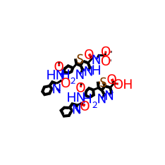 COc1cc(-c2csc3c(C(=O)NCC(OC)OC)cnc(N)c23)ccc1NC(=O)c1cc2ccccc2n1C.COc1cc(-c2csc3c(C(=O)O)cnc(N)c23)ccc1NC(=O)c1cc2ccccc2n1C